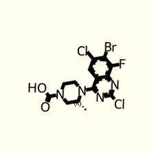 C[C@@H]1CN(C(=O)O)CCN1c1nc(Cl)nc2c(F)c(Br)c(Cl)cc12